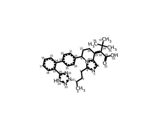 CCCCc1ncc2n1C(c1ccc(-c3ccccc3-c3nnn[nH]3)cc1)CC/C2=C(/C(=O)O)C(C)(C)C